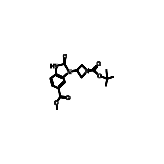 COC(=O)c1ccc2[nH]c(=O)n(C3CN(C(=O)OC(C)(C)C)C3)c2c1